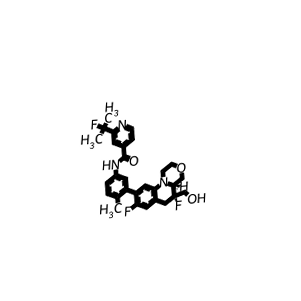 Cc1ccc(NC(=O)c2ccnc(C(C)(C)F)c2)cc1-c1cc2c(cc1F)C[C@](F)(CO)[C@H]1COCCN21